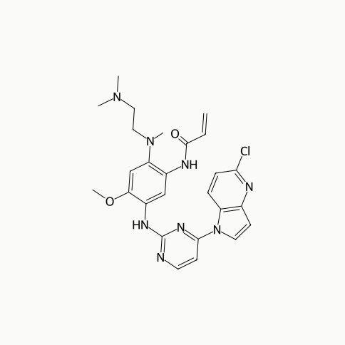 C=CC(=O)Nc1cc(Nc2nccc(-n3ccc4nc(Cl)ccc43)n2)c(OC)cc1N(C)CCN(C)C